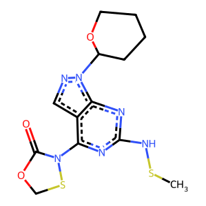 CSNc1nc(N2SCOC2=O)c2cnn(C3CCCCO3)c2n1